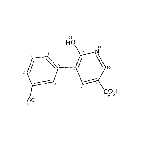 CC(=O)c1cccc(-c2cc(C(=O)O)cnc2O)c1